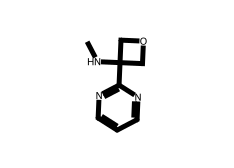 CNC1(c2ncccn2)COC1